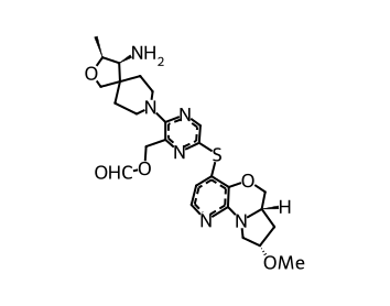 CO[C@H]1C[C@H]2COc3c(Sc4cnc(N5CCC6(CC5)CO[C@@H](C)[C@H]6N)c(COC=O)n4)ccnc3N2C1